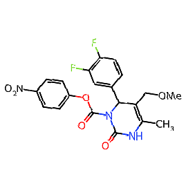 COCC1=C(C)NC(=O)N(C(=O)Oc2ccc([N+](=O)[O-])cc2)C1c1ccc(F)c(F)c1